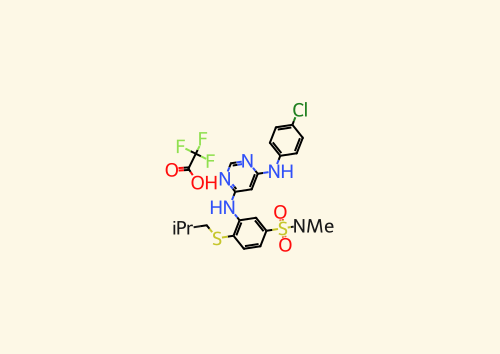 CNS(=O)(=O)c1ccc(SCC(C)C)c(Nc2cc(Nc3ccc(Cl)cc3)ncn2)c1.O=C(O)C(F)(F)F